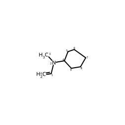 C=CN(C)C1CCCCC1